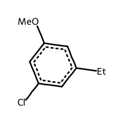 CCc1cc(Cl)cc(OC)c1